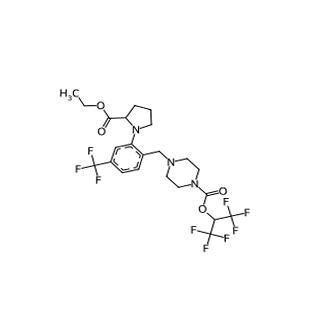 CCOC(=O)C1CCCN1c1cc(C(F)(F)F)ccc1CN1CCN(C(=O)OC(C(F)(F)F)C(F)(F)F)CC1